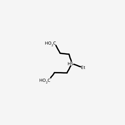 CC[SH](CCC(=O)O)CCC(=O)O